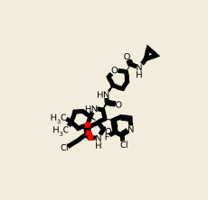 CC1(C)CCC2(CC1)N[C@@H](C(=O)N[C@@H]1CC[C@@H](C(=O)NC3CC3)OC1)[C@H](c1ccnc(Cl)c1F)[C@]21C(=O)Nc2cc(Cl)ccc21